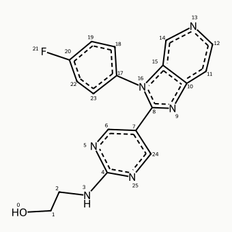 OCCNc1ncc(-c2nc3ccncc3n2-c2ccc(F)cc2)cn1